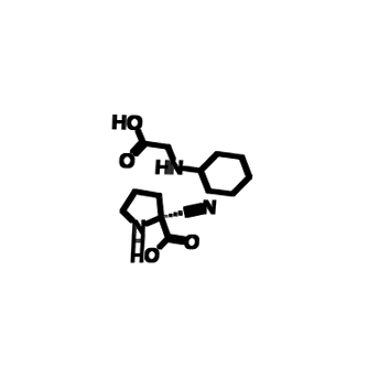 N#C[C@@]1(C(=O)O)CCCN1.O=C(O)CNC1CCCCC1